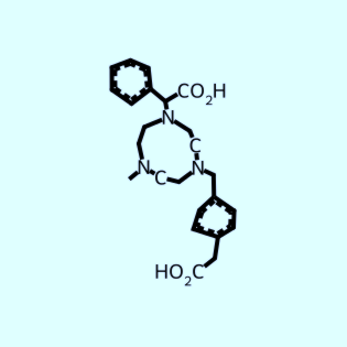 CN1CCN(Cc2ccc(CC(=O)O)cc2)CCN(C(C(=O)O)c2ccccc2)CC1